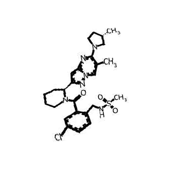 Cc1cn2nc([C@@H]3CCCCN3C(=O)c3cc(Cl)ccc3CNS(C)(=O)=O)cc2nc1N1CC[C@H](C)C1